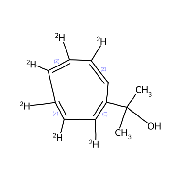 [2H]C1=C/C(C(C)(C)O)=C([2H])\C([2H])=C([2H])/C([2H])=C\1[2H]